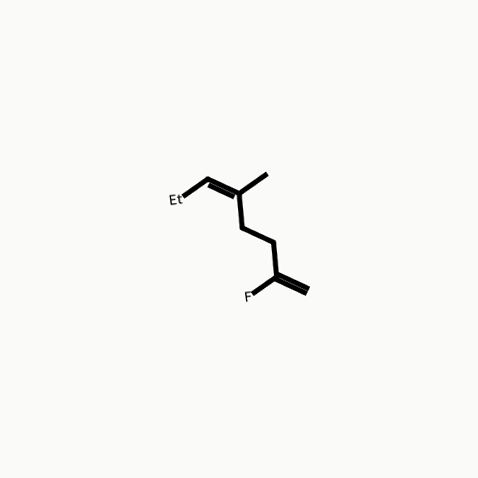 C=C(F)CCC(C)=CCC